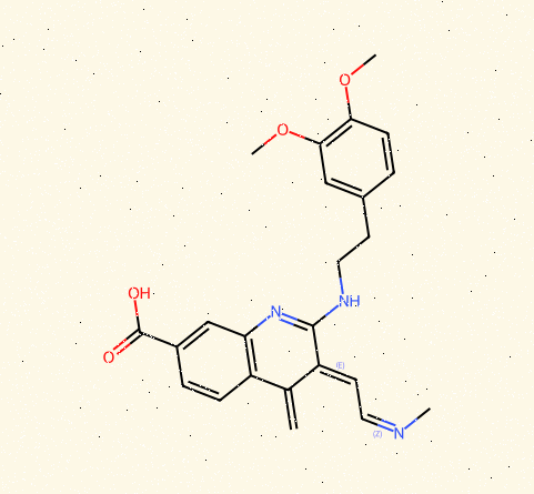 C=c1/c(=C\C=N/C)c(NCCc2ccc(OC)c(OC)c2)nc2cc(C(=O)O)ccc12